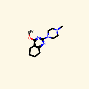 CCCOc1nc(N2CCN(C)CC2)nc2c1CCCC2